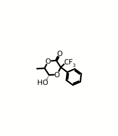 CC1OC(=O)C(c2ccccc2)(C(F)(F)F)O[C@@H]1O